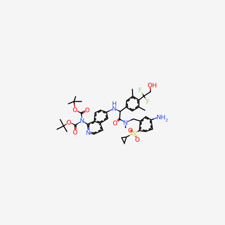 Cc1cc(C(Nc2ccc3c(N(C(=O)OC(C)(C)C)C(=O)OC(C)(C)C)nccc3c2)C(=O)N(C)Cc2cc(N)ccc2S(=O)(=O)C2CC2)cc(C)c1C(F)(F)CO